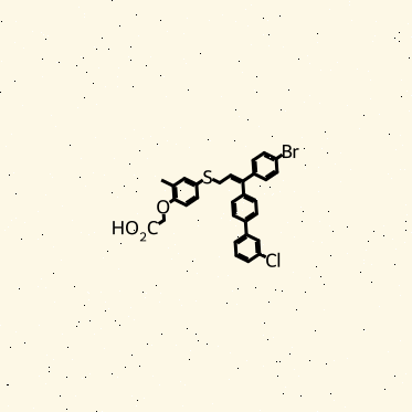 Cc1cc(SCC=C(c2ccc(Br)cc2)c2ccc(-c3cccc(Cl)c3)cc2)ccc1OCC(=O)O